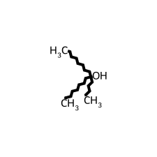 CCCCCCCCC(O)(CCCCC)CCCCCCCC